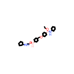 CCOB(Nc1ccccc1)c1ccc(OCc2ccc(BOCCNc3ccccc3)cc2)cc1